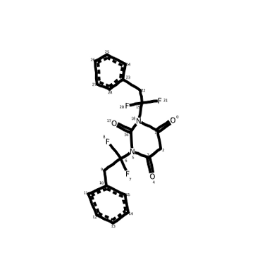 O=C1CC(=O)N(C(F)(F)Cc2ccccc2)C(=O)N1C(F)(F)Cc1ccccc1